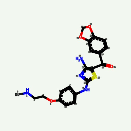 CCNCCOc1ccc(Nc2nc(N)c(C(=O)c3ccc4c(c3)OCO4)s2)cc1